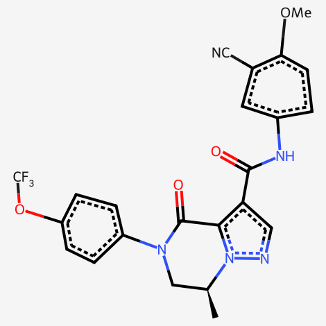 COc1ccc(NC(=O)c2cnn3c2C(=O)N(c2ccc(OC(F)(F)F)cc2)C[C@@H]3C)cc1C#N